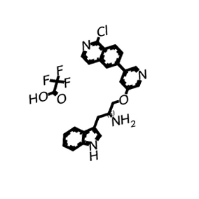 N[C@H](COc1cncc(-c2ccc3c(Cl)nccc3c2)c1)Cc1c[nH]c2ccccc12.O=C(O)C(F)(F)F